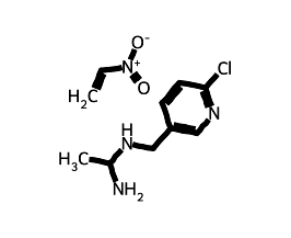 C=C[N+](=O)[O-].CC(N)NCc1ccc(Cl)nc1